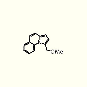 COCc1ccc2ccc3ccccc3n12